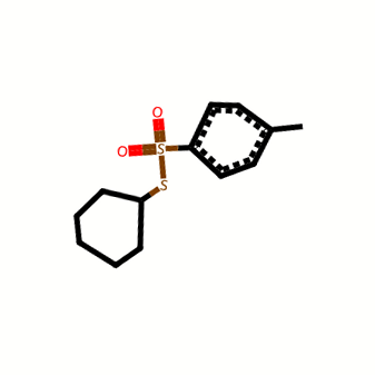 Cc1ccc(S(=O)(=O)SC2CCCCC2)cc1